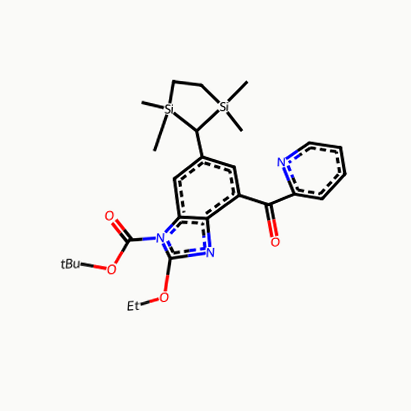 CCOc1nc2c(C(=O)c3ccccn3)cc(C3[Si](C)(C)CC[Si]3(C)C)cc2n1C(=O)OC(C)(C)C